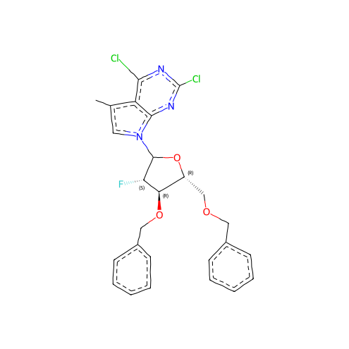 Cc1cn(C2O[C@H](COCc3ccccc3)[C@@H](OCc3ccccc3)[C@@H]2F)c2nc(Cl)nc(Cl)c12